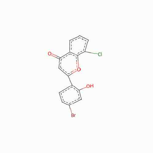 O=c1cc(-c2ccc(Br)cc2O)oc2c(Cl)cccc12